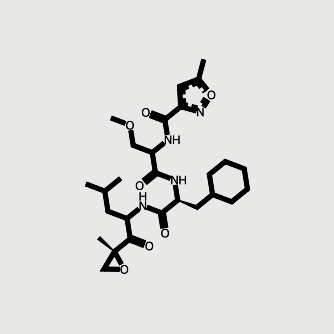 COCC(NC(=O)c1cc(C)on1)C(=O)N[C@@H](CC1CCCCC1)C(=O)NC(CC(C)C)C(=O)[C@@]1(C)CO1